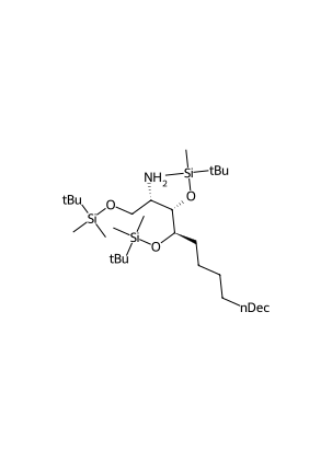 CCCCCCCCCCCCCC[C@@H](O[Si](C)(C)C(C)(C)C)[C@@H](O[Si](C)(C)C(C)(C)C)[C@@H](N)CO[Si](C)(C)C(C)(C)C